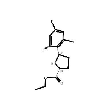 CCOC(=O)[C@H]1CC[C@@H](c2c(F)cc(F)cc2F)N1